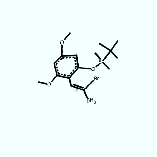 B/C(Br)=C/c1c(OC)cc(OC)cc1O[Si](C)(C)C(C)(C)C